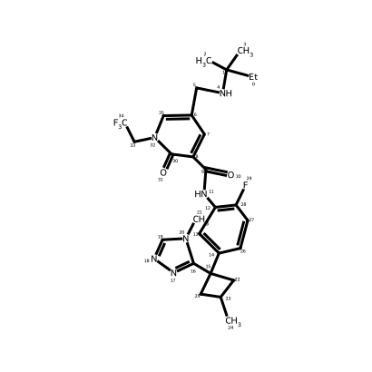 CCC(C)(C)NCc1cc(C(=O)Nc2cc(C3(c4nncn4C)CC(C)C3)ccc2F)c(=O)n(CC(F)(F)F)c1